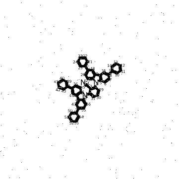 N#Cc1c(-n2c3ccc(-c4ccccc4)cc3c3cc(-c4ccccc4)ccc32)cccc1-n1c2ccc(-c3ccccc3)cc2c2cc(-c3ccccc3)ccc21